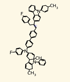 CC1C=CC(n2c3ccccc3c3cc(/C(=C/c4ccc(-c5ccc(N(C6=CC7C8=C(CC(C)C=C8)N(c8ccccc8)C7(C)C=C6)c6ccc(F)cc6)cc5)cc4)Cc4ccc(F)cc4)ccc32)=CC1